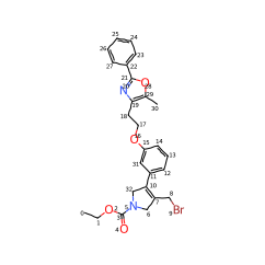 CCOC(=O)N1CC(CBr)=C(c2cccc(OCCc3nc(-c4ccccc4)oc3C)c2)C1